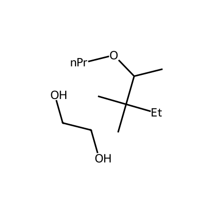 CCCOC(C)C(C)(C)CC.OCCO